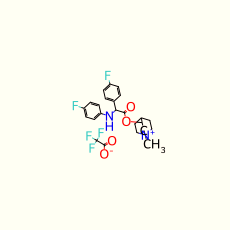 C[N+]12CCC(CC1)C(OC(=O)C(Nc1ccc(F)cc1)c1ccc(F)cc1)C2.O=C([O-])C(F)(F)F